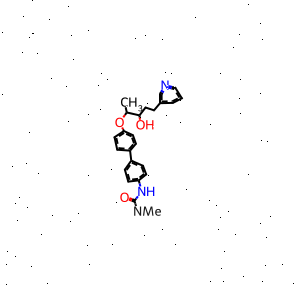 CNC(=O)Nc1ccc(-c2ccc(OC(C)C(O)CCc3cccnc3)cc2)cc1